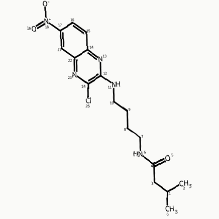 CC(C)CC(=O)NCCCCNc1nc2ccc([N+](=O)[O-])cc2nc1Cl